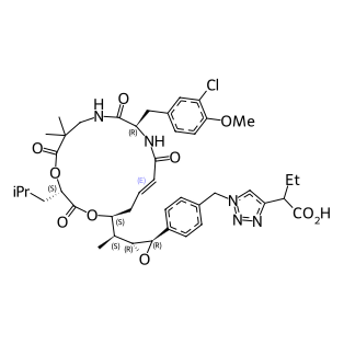 CCC(C(=O)O)c1cn(Cc2ccc([C@H]3O[C@@H]3[C@@H](C)[C@@H]3C/C=C/C(=O)N[C@H](Cc4ccc(OC)c(Cl)c4)C(=O)NCC(C)(C)C(=O)O[C@@H](CC(C)C)C(=O)O3)cc2)nn1